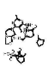 CC12CCC(C(S(=O)(=O)O)C1=O)C2(C)C.Cc1nc(NNC(=O)[C@H](CC2CCCC2)CN(O)C=O)c(F)c(N2CCN3CCOC[C@@H]3C2)n1